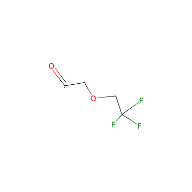 O=[C]COCC(F)(F)F